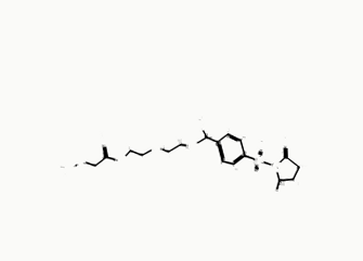 CSCC(=O)OCCOCCOC(O)c1ccc(S(=O)(=O)N2C(=O)CCC2O)cc1